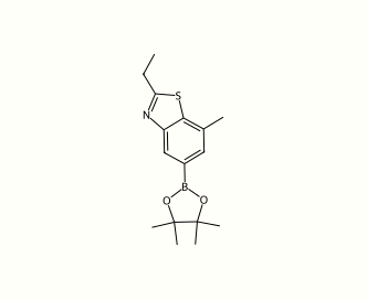 CCc1nc2cc(B3OC(C)(C)C(C)(C)O3)cc(C)c2s1